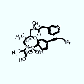 CC(C)CC#Cc1ccc2c(c1)O[C@H](CN(C)C(=O)Cc1cccnc1)[C@@H](C)CN(C(C)CO)S2(O)O